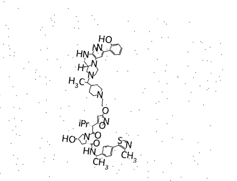 Cc1ncsc1-c1ccc([C@H](C)NC(=O)[C@@H]2C[C@@H](O)CN2C(=O)[C@@H](c2cc(OCCN3CCC(C(C)N4CCN5c6cc(-c7ccccc7O)nnc6NC[C@H]5C4)CC3)no2)C(C)C)cc1